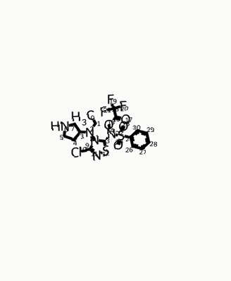 CCN(C1CCNC1)N1C(Cl)=NS[C@@H]1N(OC(=O)C(F)(F)F)S(=O)(=O)c1ccccc1